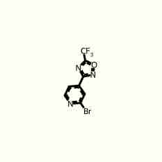 FC(F)(F)c1nc(-c2ccnc(Br)c2)no1